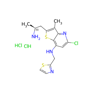 Cc1c(C[C@H](C)N)sc2c(NCc3nccs3)cc(Cl)nc12.Cl.Cl